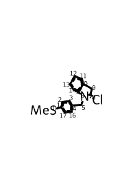 CSc1ccc(CN2[C](Cl)Cc3ccccc32)cc1